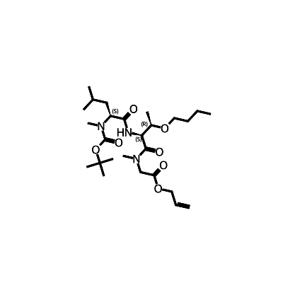 C=CCOC(=O)CN(C)C(=O)[C@@H](NC(=O)[C@H](CC(C)C)N(C)C(=O)OC(C)(C)C)[C@@H](C)OCCCC